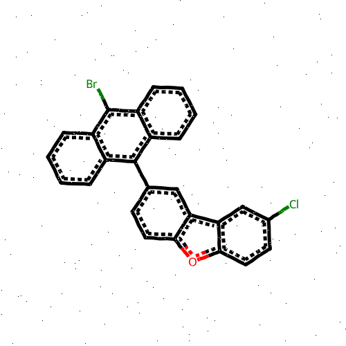 Clc1ccc2oc3ccc(-c4c5ccccc5c(Br)c5ccccc45)cc3c2c1